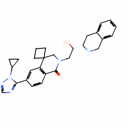 O=C1c2ccc(-c3ncnn3C3CC3)cc2C2(CCC2)CN1CC(O)[C@@H]1Cc2ccccc2CN1